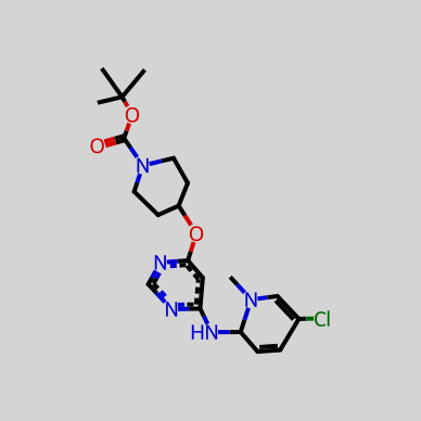 CN1C=C(Cl)C=CC1Nc1cc(OC2CCN(C(=O)OC(C)(C)C)CC2)ncn1